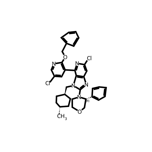 C[C@H]1CC[C@H](Cn2c(N3CCOC[C@H]3c3ccccc3)nc3cc(Cl)nc(-c4cc(Cl)cnc4OCc4ccccc4)c32)CC1